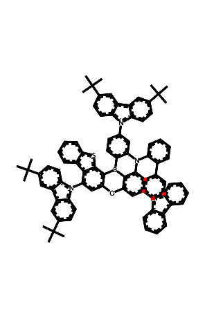 CC(C)(C)c1ccc2c(c1)c1cc(C(C)(C)C)ccc1n2-c1ccc2c(c1)N(c1ccccc1-c1ccccc1)c1cc(-n3c4ccccc4c4ccccc43)cc3c1B2c1c(cc(-n2c4ccc(C(C)(C)C)cc4c4cc(C(C)(C)C)ccc42)c2c1sc1ccccc12)O3